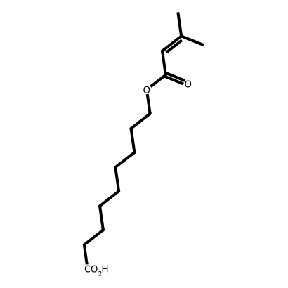 CC(C)=CC(=O)OCCCCCCCCC(=O)O